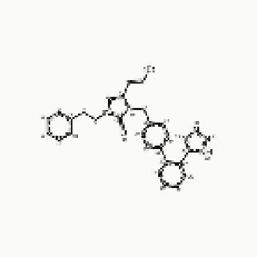 CC/C=C/c1cn(CCc2ccccc2)c(=O)n1Cc1ccc(-c2ccccc2-c2nnn[nH]2)cc1